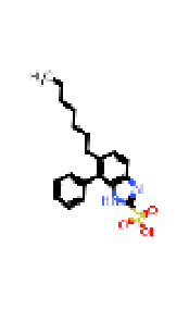 CCCCCCCc1ccc2nc(S(=O)(=O)O)[nH]c2c1-c1ccccc1